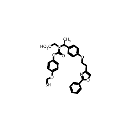 C[C@@H](c1ccc(OCCc2coc(-c3ccccc3)n2)cc1)N(CC(=O)O)C(=O)Oc1ccc(OCS)cc1